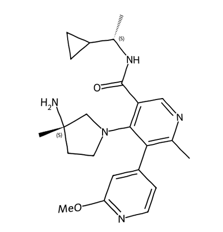 COc1cc(-c2c(C)ncc(C(=O)N[C@@H](C)C3CC3)c2N2CC[C@](C)(N)C2)ccn1